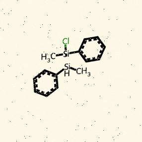 C[SiH](c1ccccc1)[Si](C)(Cl)c1ccccc1